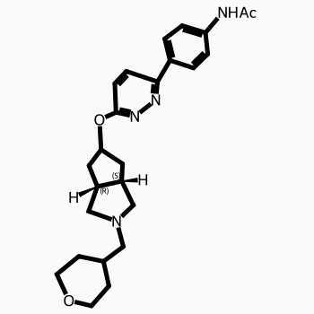 CC(=O)Nc1ccc(-c2ccc(OC3C[C@@H]4CN(CC5CCOCC5)C[C@@H]4C3)nn2)cc1